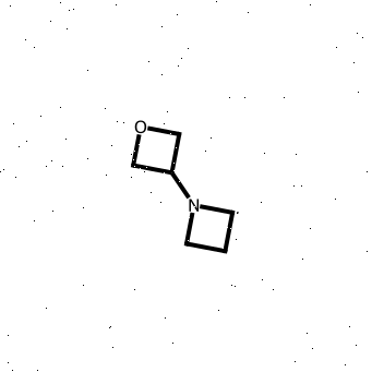 [CH]1CCN1C1COC1